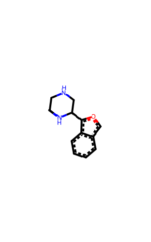 c1ccc2c(C3CNCCN3)occ2c1